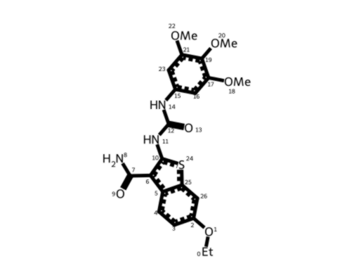 CCOc1ccc2c(C(N)=O)c(NC(=O)Nc3cc(OC)c(OC)c(OC)c3)sc2c1